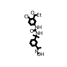 CCC(=O)c1cc(NC(=O)NC(C)(C)c2cccc(/C(C)=N/O)c2)ccc1Cl